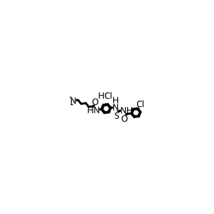 CN(C)CCCCC(=O)Nc1ccc(NC(=S)NC(=O)c2cccc(Cl)c2)cc1.Cl